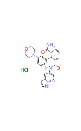 Cl.NC(=O)c1cccc(C(=O)Nc2cnc3[nH]ccc3c2)c1-c1cccc(N2CCOCC2)c1